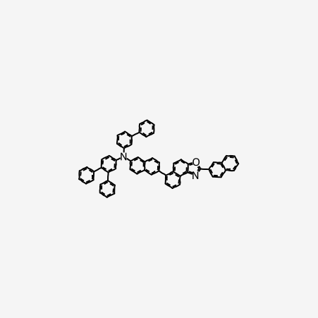 c1ccc(-c2cccc(N(c3ccc(-c4ccccc4)c(-c4ccccc4)c3)c3ccc4cc(-c5cccc6c5ccc5oc(-c7ccc8ccccc8c7)nc56)ccc4c3)c2)cc1